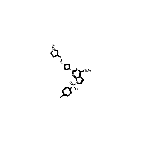 CNc1nc([C@H]2C[C@@H](CSC3CCN(C(C)C)C3)C2)nc2c1ccn2S(=O)(=O)c1ccc(C)cc1